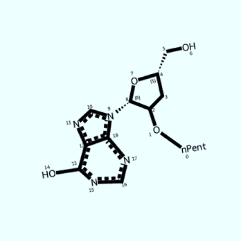 CCCCCOC1C[C@@H](CO)O[C@H]1n1cnc2c(O)ncnc21